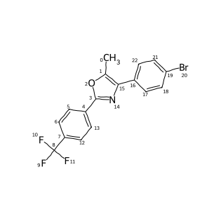 Cc1oc(-c2ccc(C(F)(F)F)cc2)nc1-c1ccc(Br)cc1